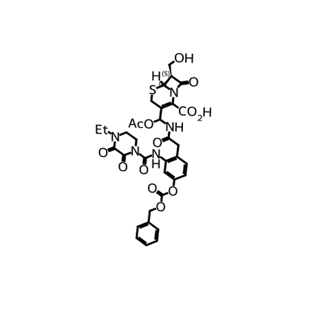 CCN1CCN(C(=O)Nc2cc(OC(=O)OCc3ccccc3)ccc2CC(=O)NC(OC(C)=O)C2=C(C(=O)O)N3C(=O)[C@H](CO)[C@H]3SC2)C(=O)C1=O